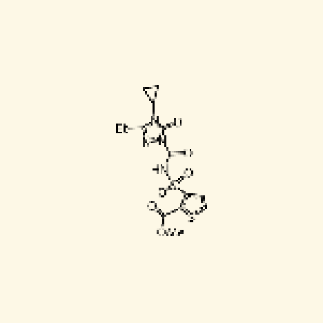 CCc1nn(C(=O)NS(=O)(=O)c2ccsc2C(=O)OC)c(=O)n1C1CC1